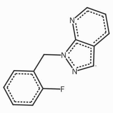 Fc1ccccc1Cn1n[c]c2cccnc21